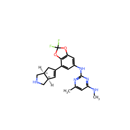 CNc1cc(C)nc(Nc2cc3c(c(C4=C[C@H]5CNC[C@H]5C4)c2)OC(F)(F)O3)n1